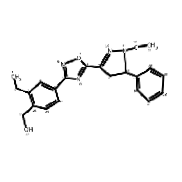 CCc1cc(-c2noc(C3=NN(CC)C(c4ccccc4)C3)n2)ccc1CO